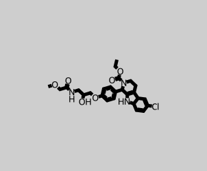 CCOC(=O)N1CCC2=C(NC3C=CC(Cl)=CC23)C1c1ccc(OCC(O)CNC(=O)COC)cc1